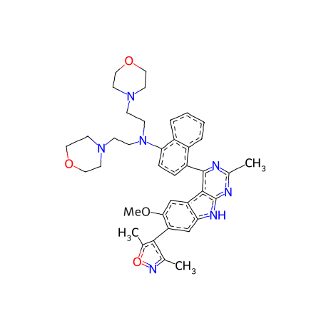 COc1cc2c(cc1-c1c(C)noc1C)[nH]c1nc(C)nc(-c3ccc(N(CCN4CCOCC4)CCN4CCOCC4)c4ccccc34)c12